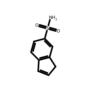 NS(=O)(=O)c1ccc2c(c1)CC=C2